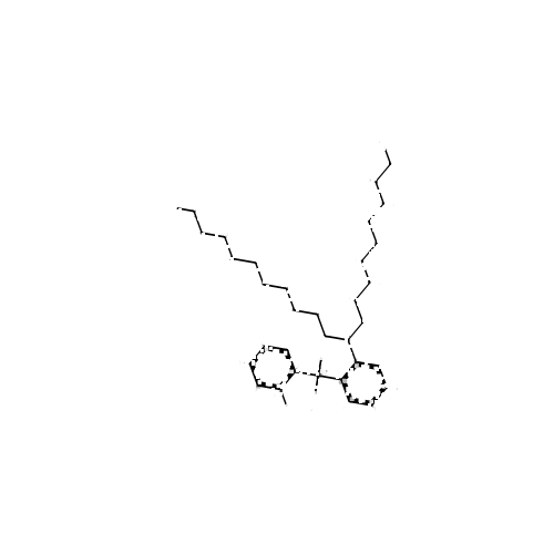 CCCCCCCCCCCC(CCCCCCCCCC)c1ccccc1C(C)(C)c1ccccc1O